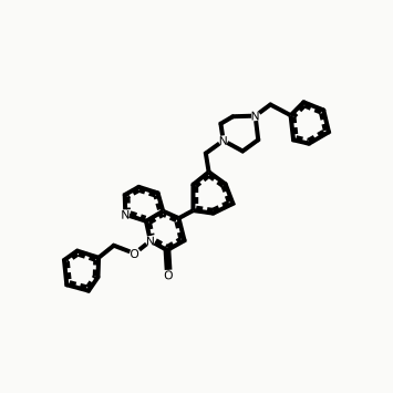 O=c1cc(-c2cccc(CN3CCN(Cc4ccccc4)CC3)c2)c2cccnc2n1OCc1ccccc1